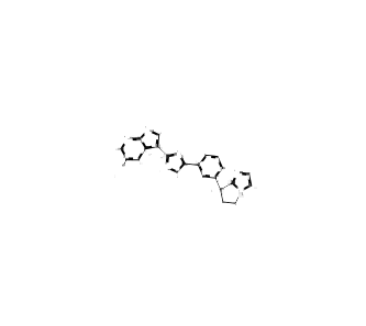 O[C@@]1(c2cccc(-c3csc(-c4c[nH]c5ncc(C(F)(F)F)cc45)n3)c2)CCn2ccnc21